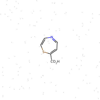 O=C(O)C1=CC=NC=CS1